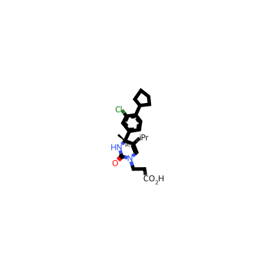 CC(C)C1=CN(CCC(=O)O)C(=O)N[C@]1(C)c1ccc(C2CCCC2)c(Cl)c1